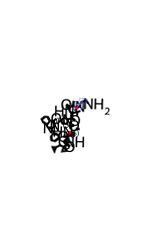 C=C[C@@H]1C[C@]1(NC(=O)[C@@H]1C[C@@H](Oc2nc(-c3ccccc3)nc3ccccc23)CN1C(=O)C(NC(=O)C(=C)/C=N\C=C/N)C(C)(C)C)C(=O)NS(=O)(=O)C1(CC2CC2)CC1